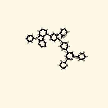 c1ccc(-n2c3ccccc3c3c(-c4ccc5c(c4)c4cccnc4n5-c4ccc(-c5cc(-c6ccccn6)nc(-c6ccccn6)c5)cc4)cccc32)cc1